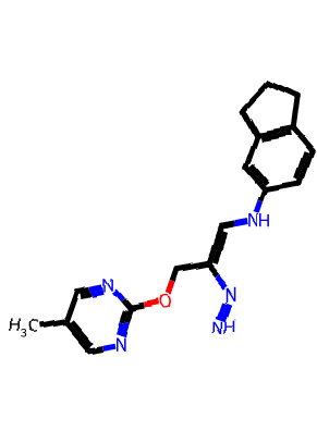 Cc1cnc(OC/C(=C/Nc2ccc3c(c2)CCC3)N=N)nc1